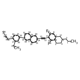 CCCC1CCc2c(cc(F)c(C#Cc3ccc4cc(-c5ccc(N=C=S)c(CC)c5)ccc4c3)c2F)C1